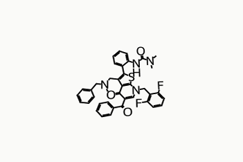 CN(Cc1ccccc1)Cc1c(-c2ccccc2NC(=O)N(C)C)sc2c1c(=O)c(C(=O)c1ccccc1)cn2Cc1c(F)cccc1F